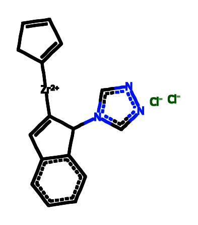 C1=CC[C]([Zr+2][C]2=Cc3ccccc3C2n2cnnc2)=C1.[Cl-].[Cl-]